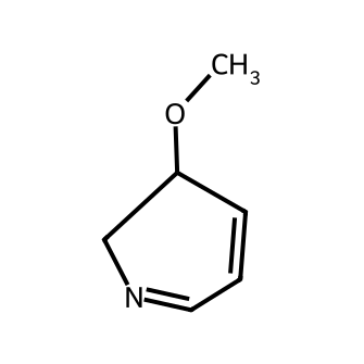 COC1C=CC=NC1